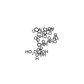 CC[C@@]1(O)C(=O)OCc2c1cc1n(c2=O)Cc2c-1nc1ccc3c(c1c2CNC(=O)OCc1ccc(O[C@@H]2O[C@H](C(=O)O)[C@@H](O)[C@H](O)[C@H]2O)c(NC(=O)CCNC(=O)CCN2C(=O)C=CC2=O)c1)CCC3